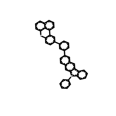 c1ccc(-n2c3ccccc3c3cc4cc(-c5cccc(-c6ccc7c(c6)-c6cccc8cccc(c68)S7)c5)ccc4cc32)cc1